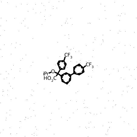 CC(C)OC(C(=O)O)(c1ccc(C(F)(F)F)cc1)c1cccc(-c2ccc(C(F)(F)F)cc2)c1